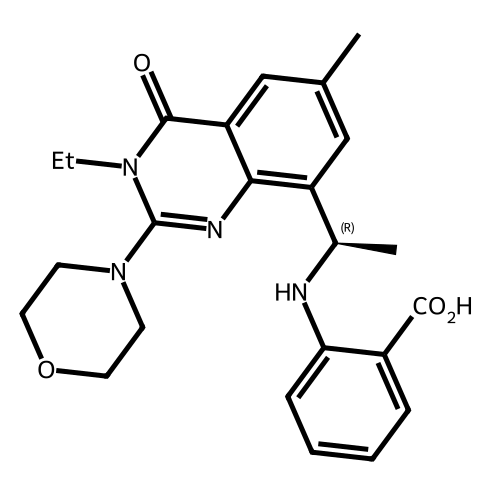 CCn1c(N2CCOCC2)nc2c([C@@H](C)Nc3ccccc3C(=O)O)cc(C)cc2c1=O